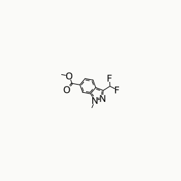 COC(=O)c1ccc2c(C(F)F)nn(C)c2c1